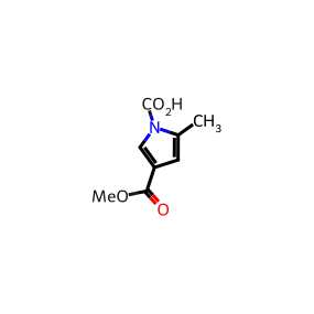 COC(=O)c1cc(C)n(C(=O)O)c1